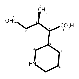 C[C@H](CC=O)C(C(=O)O)C1CCCNC1